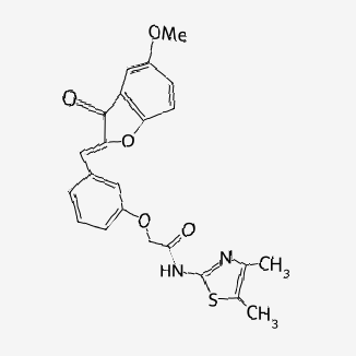 COc1ccc2c(c1)C(=O)/C(=C/c1cccc(OCC(=O)Nc3nc(C)c(C)s3)c1)O2